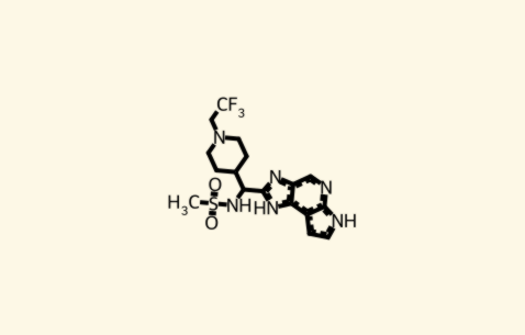 CS(=O)(=O)NC(c1nc2cnc3[nH]ccc3c2[nH]1)C1CCN(CC(F)(F)F)CC1